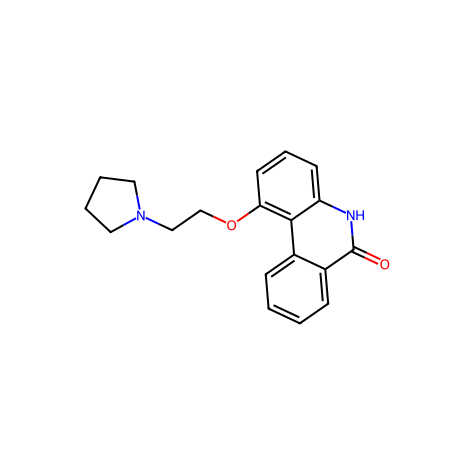 O=c1[nH]c2cccc(OCCN3CCCC3)c2c2ccccc12